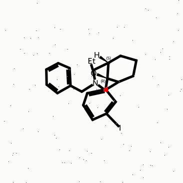 CCO[C@]1(c2cccc(I)c2)C2CCC[C@H]1CN(Cc1ccccc1)C2